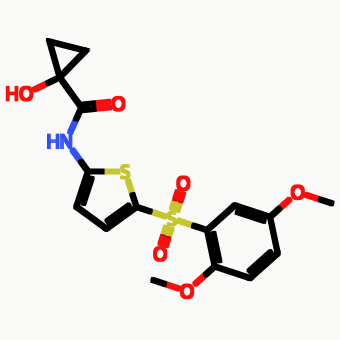 COc1ccc(OC)c(S(=O)(=O)c2ccc(NC(=O)C3(O)CC3)s2)c1